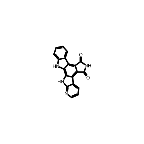 O=C1NC(=O)c2c1c1c3ccccc3[nH]c1c1[nH]c3ncccc3c21